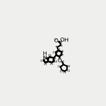 O=C(O)CCc1ccc(OCC2CCCCC2)c(-c2ccc3cc[nH]c3c2)c1